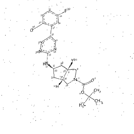 CC(C)(C)OC(=O)N1C[C@H]2C[C@H](Nc3ncc(-c4cc(F)ccc4Cl)cn3)C[C@H]2C1